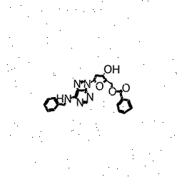 O=C(OC[C@H]1O[C@@H](n2cnc3c(NCc4ccccc4)ncnc32)C[C@@H]1O)c1ccccc1